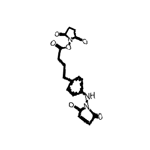 O=C(CCCc1ccc(NN2C(=O)C=CC2=O)cc1)ON1C(=O)CCC1=O